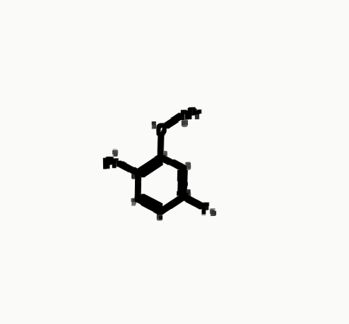 CCCOc1cc(F)ccc1C(C)C